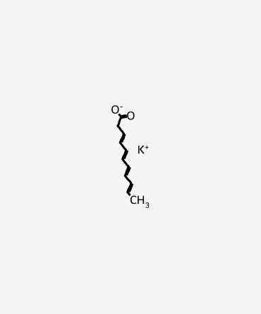 CC=CC=CC=CC=CCC(=O)[O-].[K+]